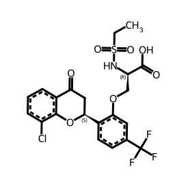 CCS(=O)(=O)N[C@H](COc1cc(C(F)(F)F)ccc1[C@@H]1CC(=O)c2cccc(Cl)c2O1)C(=O)O